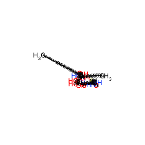 CC#CC#CC#CC#CC#CC#CC#CC#CC#CC#CC#CC#CC(=O)N[C@@H](COC1OC(CNC(=O)CCCCC2SC[C@@H]3NC(=O)NC23)C(O)C(O)C1O)[C@H](O)[C@H](O)CCCCCCCCCCCCCC